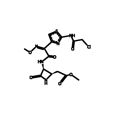 CO/N=C(\C(=O)N[C@H]1C(=O)N[C@H]1CC(=O)OC)c1csc(NC(=O)CCl)n1